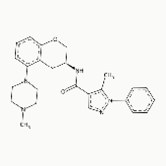 Cc1c(C(=O)N[C@@H]2COc3cccc(N4CCN(C)CC4)c3C2)cnn1-c1ccccc1